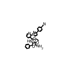 N#Cc1ccc(-c2ccn(-c3ncccc3C(=O)NC(Cc3ccccc3)C3(C(N)=O)OCCO3)n2)cc1